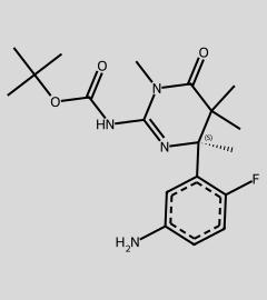 CN1C(=O)C(C)(C)[C@@](C)(c2cc(N)ccc2F)N=C1NC(=O)OC(C)(C)C